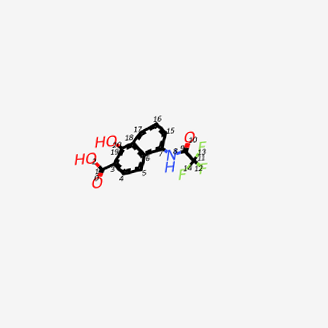 O=C(O)c1ccc2c(NC(=O)C(F)(F)F)cccc2c1O